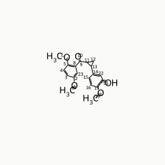 COc1ccc(OC)c(C(=O)C2CC2c2ccc(OC)c(O)c2)c1